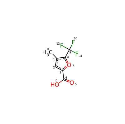 Cc1cc(C(=O)O)oc1C(F)(F)F